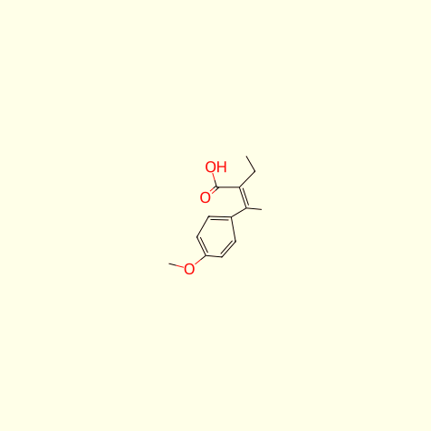 CCC(C(=O)O)=C(C)c1ccc(OC)cc1